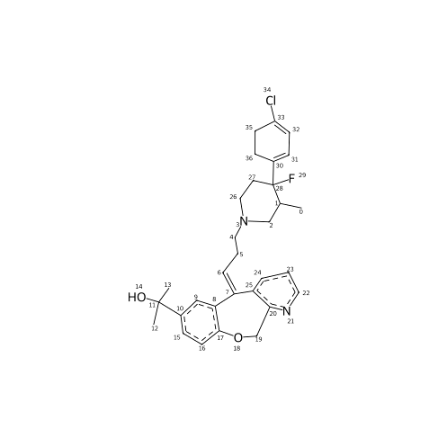 CC1CN(CC/C=C2/c3cc(C(C)(C)O)ccc3OCc3ncccc32)CCC1(F)C1=CC=C(Cl)CC1